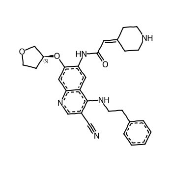 N#Cc1cnc2cc(O[C@H]3CCOC3)c(NC(=O)C=C3CCNCC3)cc2c1NCCc1ccccc1